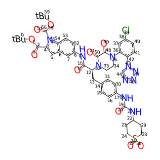 CC(C)(C)OC(=O)c1cc2cc(NC(=O)[C@H](Cc3ccc(NC(=O)NC4CCS(=O)(=O)CC4)cc3)N3CCN(c4cc(Cl)ccc4-n4cnnn4)C(=O)C3=O)ccc2n1C(=O)OC(C)(C)C